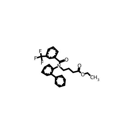 CCOC(=O)CCCN(C(=O)c1cccc(C(F)(F)F)c1)c1ccccc1-c1ccccc1